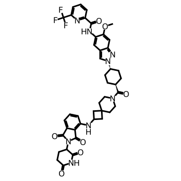 COc1cc2nn([C@H]3CC[C@H](C(=O)N4CCC5(CC4)CC(Nc4cccc6c4C(=O)N(C4CCC(=O)NC4=O)C6=O)C5)CC3)cc2cc1NC(=O)c1cccc(C(F)(F)F)n1